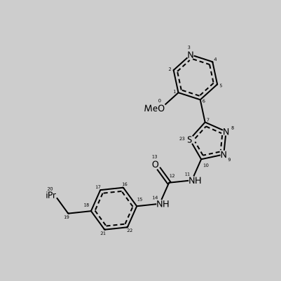 COc1cnccc1-c1nnc(NC(=O)Nc2ccc(CC(C)C)cc2)s1